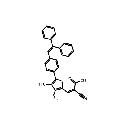 Cc1c(/C=C(/C#N)C(=O)O)sc(-c2ccc(C=C(c3ccccc3)c3ccccc3)cc2)c1C